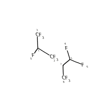 FC(C(F)(F)F)C(F)(F)F.FC(F)CC(F)(F)F